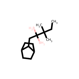 BC(B)(CC1C2CCC1CC2)C(C)(C)CC